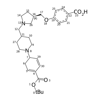 CC(C)(C)OC(=O)C1=CCC(N2CCC(CN3CC[C@@H](COc4ccc(C(=O)O)cc4)C3)CC2)C=C1